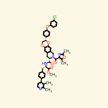 COC(=O)[C@H](Cc1ccc(-c2ccnc(C)c2C)cc1)NC(=O)[C@@H]1Cc2cc3c(cc2CN1C(=O)c1nc(C)oc1C)O[C@@H](c1ccc(Oc2cccc(Cl)c2)cc1)CO3